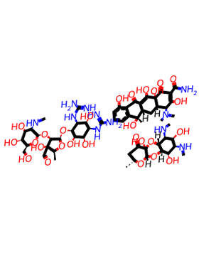 CN(C)[C@@H]1C(O)=C(C(N)=O)C(=O)[C@@]2(O)C(O)=C3C(=O)c4c(O)cccc4[C@@](C)(O)[C@H]3C[C@@H]12.CN[C@@H]1[C@H](O)[C@H](NC)[C@H]2O[C@@]3(O)C(=O)C[C@@H](C)O[C@H]3O[C@@H]2[C@H]1O.CN[C@@H]1[C@H](O[C@H]2[C@H](O[C@H]3[C@H](O)[C@@H](O)[C@H](NC(=N)N)[C@@H](O)[C@@H]3NC(=N)N)O[C@@H](C)[C@]2(O)C=O)O[C@@H](CO)[C@H](O)[C@H]1O